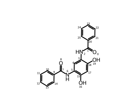 O=C(Nc1cc(NC(=O)c2ccccc2)c(O)cc1O)c1ccccc1